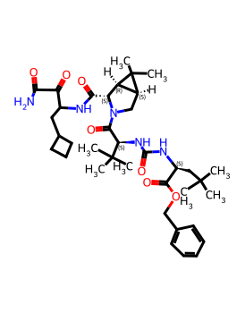 CC(C)(C)C[C@H](NC(=O)N[C@H](C(=O)N1C[C@H]2[C@@H]([C@H]1C(=O)NC(CC1CCC1)C(=O)C(N)=O)C2(C)C)C(C)(C)C)C(=O)OCc1ccccc1